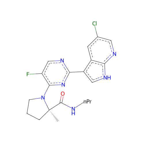 CCCNC(=O)[C@@]1(C)CCCN1c1nc(-c2c[nH]c3ncc(Cl)cc23)ncc1F